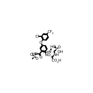 CNC.CS(=O)(=O)NC(=O)c1cc(Oc2ccc(C(F)(F)F)cc2Cl)ccc1[N+](=O)[O-].O=C(O)CNCP(=O)(O)O